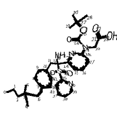 CCCC(C)(C)Cc1ccc(CC(N)(c2cccc(N(CC(=O)O)C(=O)OC(C)(C)C)n2)S(=O)(=O)c2ccccn2)cc1